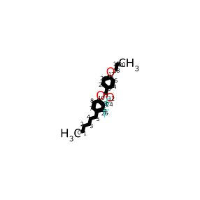 CCCCCCc1ccc(OC(=O)c2ccc(OCCC)cc2)c(F)c1F